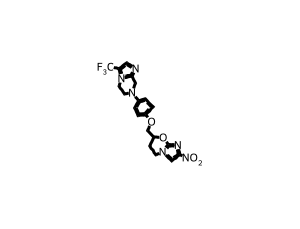 O=[N+]([O-])c1cn2c(n1)OC(COc1ccc(N3CCn4c(C(F)(F)F)cnc4C3)cc1)CC2